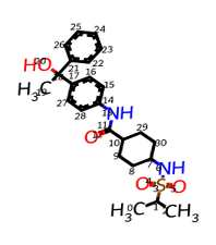 CC(C)S(=O)(=O)NC1CCC(C(=O)Nc2ccc(C(C)(O)c3ccccc3)cc2)CC1